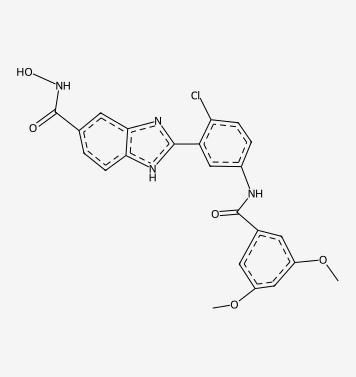 COc1cc(OC)cc(C(=O)Nc2ccc(Cl)c(-c3nc4cc(C(=O)NO)ccc4[nH]3)c2)c1